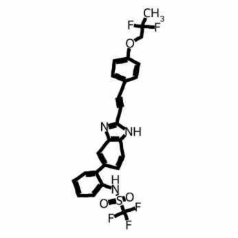 CC(F)(F)COc1ccc(C#Cc2nc3cc(-c4ccccc4NS(=O)(=O)C(F)(F)F)ccc3[nH]2)cc1